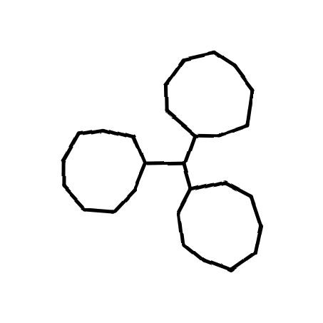 C1CCCCC(C(C2CCCCCCCC2)C2CCCCCCCC2)CCC1